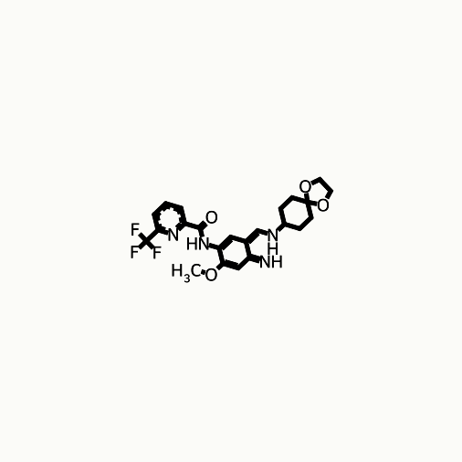 COC1=CC(=N)/C(=C\NC2CCC3(CC2)OCCO3)C=C1NC(=O)c1cccc(C(F)(F)F)n1